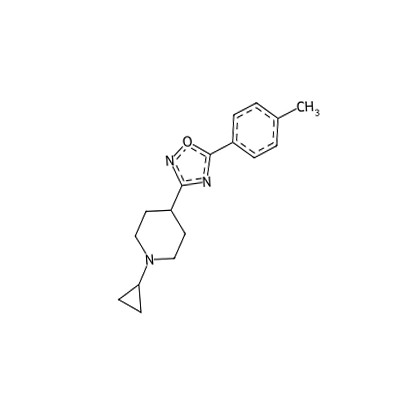 Cc1ccc(-c2nc(C3CCN(C4CC4)CC3)no2)cc1